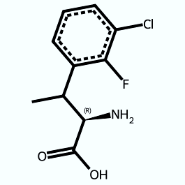 CC(c1cccc(Cl)c1F)[C@@H](N)C(=O)O